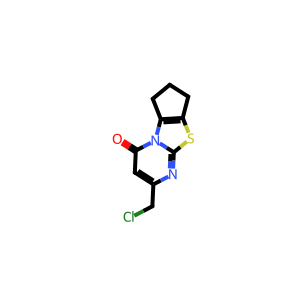 O=c1cc(CCl)nc2sc3c(n12)CCC3